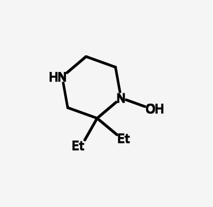 CCC1(CC)CNCCN1O